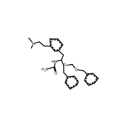 CN(C)CCc1cccc(CC(NC(N)=O)[C@@H](COCc2ccccc2)Cc2ccccc2)c1